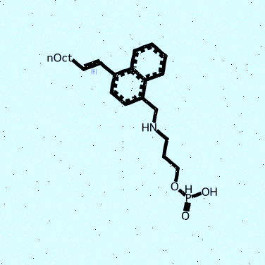 CCCCCCCC/C=C/c1ccc(CNCCCO[PH](=O)O)c2ccccc12